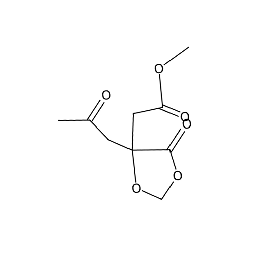 COC(=O)CC1(CC(C)=O)OCOC1=O